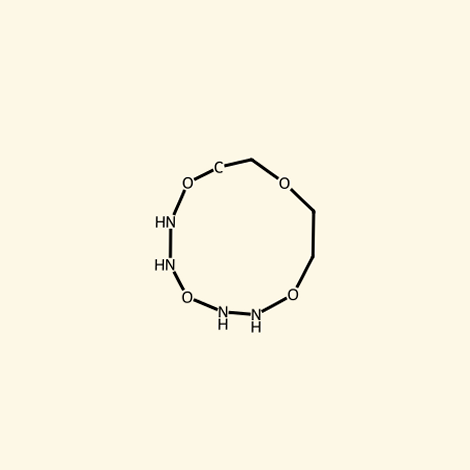 C1CONNONNOCCO1